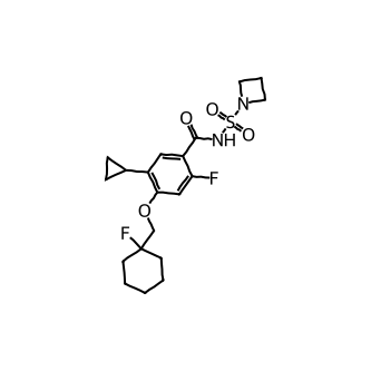 O=C(NS(=O)(=O)N1CCC1)c1cc(C2CC2)c(OCC2(F)CCCCC2)cc1F